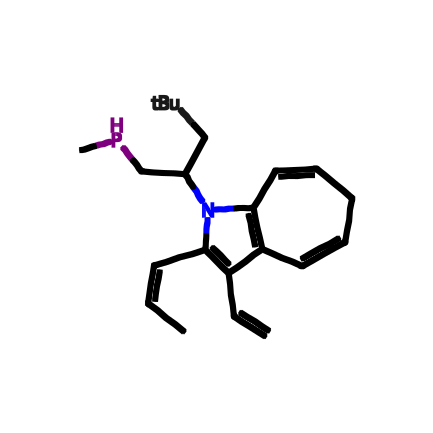 C=Cc1c2c(n(C(CPC)CC(C)(C)C)c1/C=C\C)C=CCC=C2